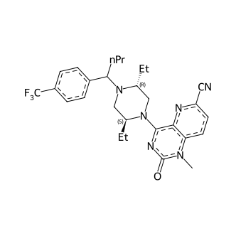 CCCC(c1ccc(C(F)(F)F)cc1)N1C[C@H](CC)N(c2nc(=O)n(C)c3ccc(C#N)nc23)C[C@H]1CC